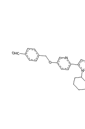 O=Cc1ccc(COc2ccc(-c3ccnn3C3CCCCO3)nc2)cc1